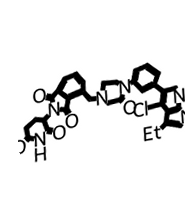 CCc1c[nH]c2ncc(-c3cccc(N4CCN(Cc5cccc6c5C(=O)N(C5CCC(=O)NC5=O)C6=O)CC4=O)c3)c(Cl)c12